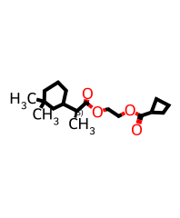 C[C@H](C(=O)OCCOC(=O)C1CCC1)C1CCCC(C)(C)C1